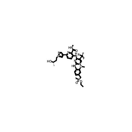 CCOP(=O)(I)Cc1ccc(Nc2ncc(C(F)(F)F)c(Nc3ccc(-c4cnn(CC[C@H](C)O)c4)nc3C(=O)NC)n2)c(OC)c1